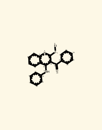 CCSc1nc2ccccc2c(Nc2ccccc2)c1C(=O)c1ccccc1